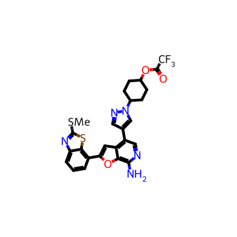 CSc1nc2cccc(-c3cc4c(-c5cnn(C6CCC(OC(=O)C(F)(F)F)CC6)c5)cnc(N)c4o3)c2s1